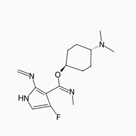 C=Nc1[nH]cc(F)c1/C(=N\C)O[C@H]1CC[C@H](N(C)C)CC1